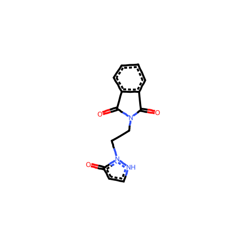 O=C1c2ccccc2C(=O)N1CCn1[nH]ccc1=O